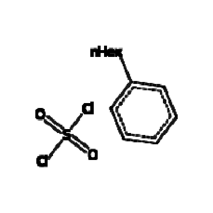 CCCCCCc1ccccc1.O=S(=O)(Cl)Cl